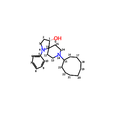 O[C@H]1CCN(c2ccccc2)C12CCN(C1CCCCCCCC1)CC2